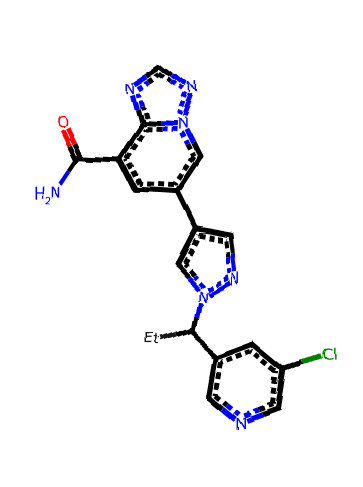 CCC(c1cncc(Cl)c1)n1cc(-c2cc(C(N)=O)c3ncnn3c2)cn1